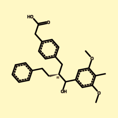 COc1cc(C(O)[C@H](CCc2ccccc2)Cc2ccc(CC(=O)O)cc2)cc(OC)c1C